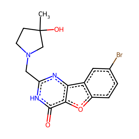 CC1(O)CCN(Cc2nc3c(oc4ccc(Br)cc43)c(=O)[nH]2)C1